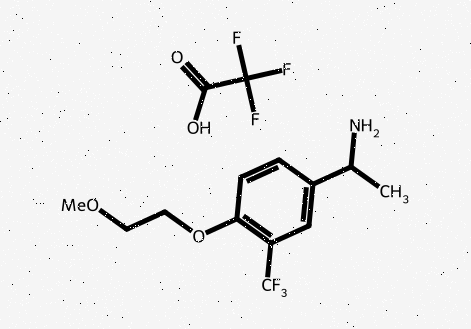 COCCOc1ccc(C(C)N)cc1C(F)(F)F.O=C(O)C(F)(F)F